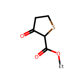 CCOC(=O)C1SCCC1=O